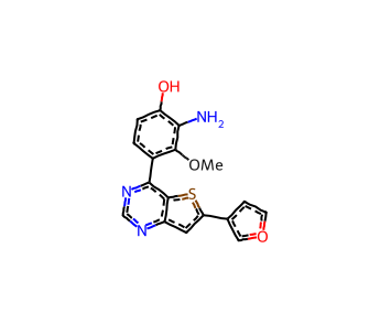 COc1c(-c2ncnc3cc(-c4ccoc4)sc23)ccc(O)c1N